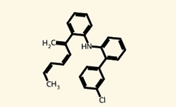 C=C(/C=C\C=C/C)c1ccccc1Nc1ccccc1-c1cccc(Cl)c1